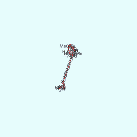 C=C(C)[C@@H](O)[C@@H](O)C(=O)[C@H](C)C[C@H](C)/C=C/C=C/C=C(\C)[C@H](C[C@@H]1CCC[C@](O)(C(=O)C(=O)N2CCCC[C@H]2C(=O)O[C@@H](CC(=O)C(C)C)[C@H](N)C[C@@H]2CC[C@@H](OC(=O)NCCOCCOCCOCCOCCOCCOCCOCCOCCOCCOCCOCCOCCC(=O)N3CCc4cc(Cn5nc(-c6cnc7[nH]ccc7c6)c6c(N)ncnc65)ccc4C3)[C@H](OC)C2)O1)OC